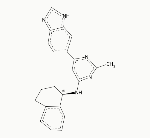 Cc1nc(N[C@@H]2CCCc3ccccc32)cc(-c2ccc3nc[nH]c3c2)n1